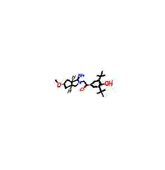 CO[C@H]1C[C@H]2CN(CC(=O)c3cc(C(C)(C)C)c(O)c(C(C)(C)C)c3)C(=N)[C@H]2C1